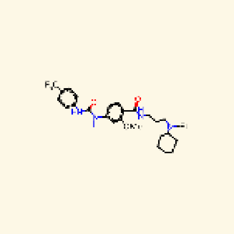 CCN(CCCNC(=O)c1ccc(NC(=O)Nc2ccc(C(F)(F)F)cc2)cc1OC)C1CCCCC1